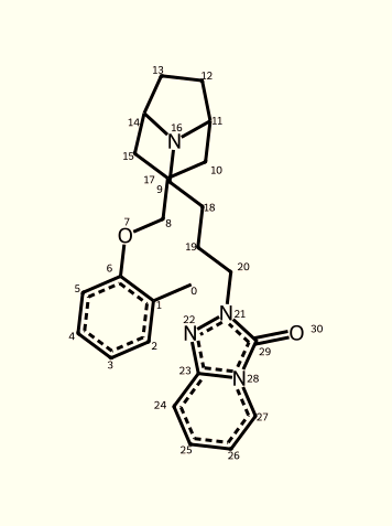 Cc1ccccc1OCC1CC2CCC(C1)N2CCCCn1nc2ccccn2c1=O